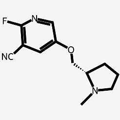 CN1CCC[C@H]1COc1cnc(F)c(C#N)c1